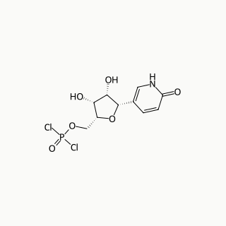 O=c1ccc([C@@H]2O[C@H](COP(=O)(Cl)Cl)[C@H](O)[C@@H]2O)c[nH]1